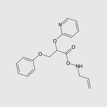 C=CCNOC(=O)C(COc1ccccc1)Oc1ccccn1